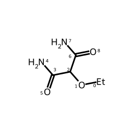 CCOC(C(N)=O)C(N)=O